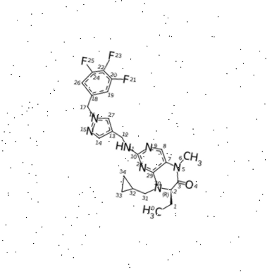 CC[C@@H]1C(=O)N(C)c2cnc(NCc3cnn(Cc4cc(F)c(F)c(F)c4)c3)nc2N1CC1CC1